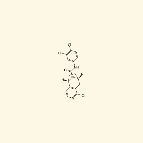 O=C(Nc1ccc(Cl)c(Cl)c1)N1[C@@H]2CC[C@H]1c1ccnc(Cl)c1C2